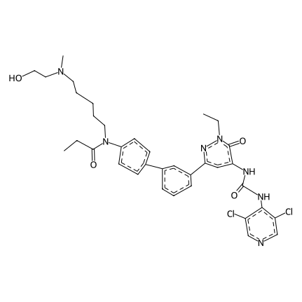 CCC(=O)N(CCCCCN(C)CCO)c1ccc(-c2cccc(-c3cc(NC(=O)Nc4c(Cl)cncc4Cl)c(=O)n(CC)n3)c2)cc1